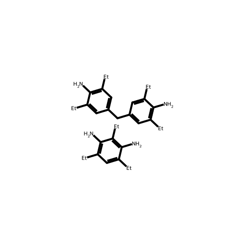 CCc1cc(CC)c(N)c(CC)c1N.CCc1cc(Cc2cc(CC)c(N)c(CC)c2)cc(CC)c1N